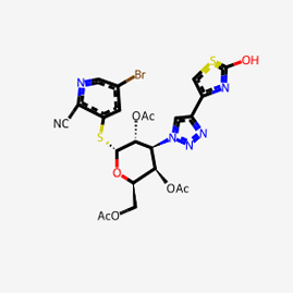 CC(=O)OC[C@H]1O[C@H](Sc2cc(Br)cnc2C#N)[C@H](OC(C)=O)[C@@H](n2cc(-c3csc(O)n3)nn2)[C@H]1OC(C)=O